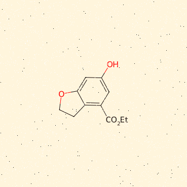 CCOC(=O)c1cc(O)cc2c1CCO2